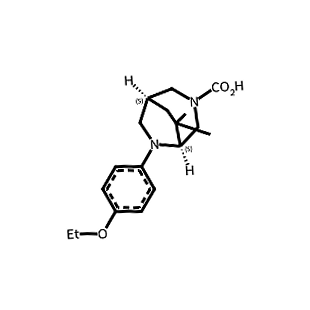 CCOc1ccc(N2C[C@H]3CN(C(=O)O)C[C@@H]2C(C)(C)C3)cc1